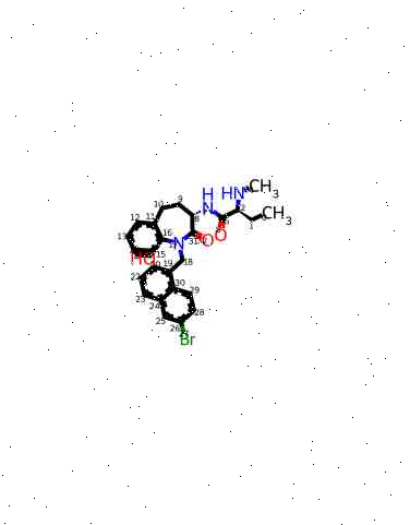 CC[C@H](NC)C(=O)N[C@H]1CCc2ccc#cc2N(Cc2c(O)ccc3cc(Br)ccc23)C1=O